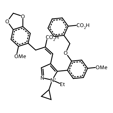 CC[N+]1(C2CC2)N=CC(/C=C(\Cc2cc3c(cc2OC)OCO3)C(=O)O)=C1c1ccc(OC)cc1OCc1ccccc1C(=O)O